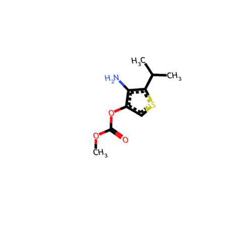 COC(=O)Oc1csc(C(C)C)c1N